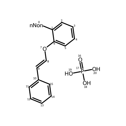 CCCCCCCCCc1ccccc1OC=Cc1ccccc1.O=P(O)(O)O